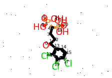 O=C(CCC(P(=O)(O)O)P(=O)(O)O)c1ccc(Cl)c(Cl)c1Cl